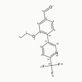 CCOc1cc(C=O)ccc1-c1ccc(C(F)(F)F)nc1